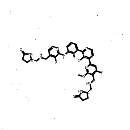 COc1nc(-c2ccnc(-c3cccc(Nc4nccc(CNC[C@H]5CCC(=O)N5)c4F)c3Cl)c2Cl)cc(F)c1CNC[C@H]1CCC(=O)N1